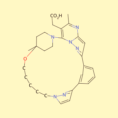 Cc1nc2cc3nn2c(c1CC(=O)O)N1CCC(C)(CC1)OCCCCCn1ccc(n1)-c1cccc-3c1